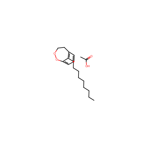 CC(=O)O.CCCCCCCCCc1c2cccc1OOCC2